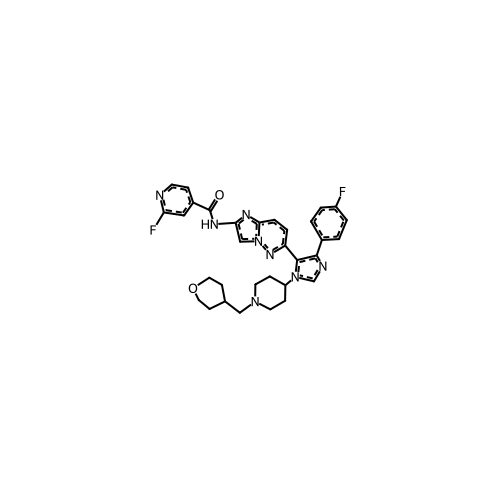 O=C(Nc1cn2nc(-c3c(-c4ccc(F)cc4)ncn3C3CCN(CC4CCOCC4)CC3)ccc2n1)c1ccnc(F)c1